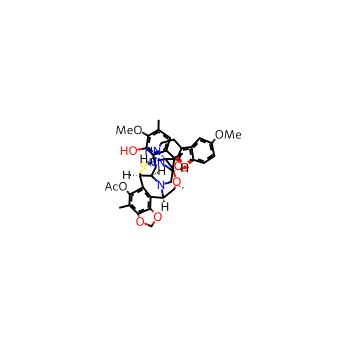 COc1ccc2oc3c(c2c1)CCN[C@]31CS[C@@H]2c3c(OC(C)=O)c(C)c4c(c3[C@H](COC1=O)N1[C@@H]2[C@@H]2N[C@@H](C(C)c3cc(C)c(OC)c(O)c32)[C@@H]1C)OCO4